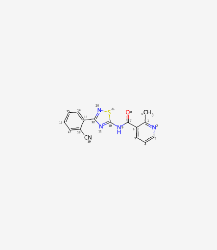 Cc1ncccc1C(=O)Nc1nc(-c2ccccc2C#N)ns1